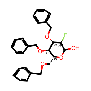 OC1O[C@H](COCc2ccccc2)[C@@H](OCc2ccccc2)[C@H](OCc2ccccc2)[C@H]1F